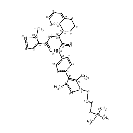 Cc1nn(COCC[Si](C)(C)C)c(C)c1-c1ccc(NC(=O)[C@@H](NC(=O)c2ccnn2C)[C@H]2CCCc3ccccc32)cc1